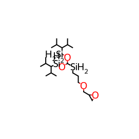 CC(C)C([SiH2]OC(O[SiH2]C(C(C)C)C(C)C)[SiH2]CCCOCC1CO1)C(C)C